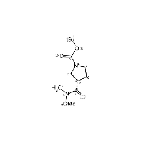 CON(C)C(=O)[C@H]1CCN(C(=O)OC(C)(C)C)C1